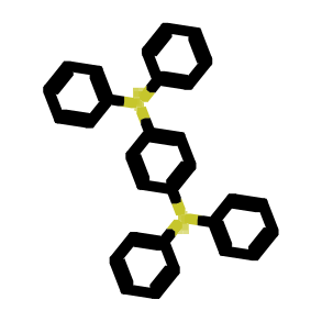 c1ccc([SH](c2ccccc2)c2ccc([SH](c3ccccc3)c3ccccc3)cc2)cc1